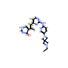 CCN1CC2(C1)CN(c1ccc(Nc3ncc(F)c(-c4sc5[nH]cnc(=O)c5c4C)n3)nc1)C2